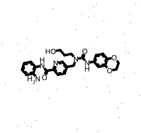 Nc1ccccc1NC(=O)c1ccc(CN(CCCO)C(=O)Nc2ccc3c(c2)OCCO3)cn1